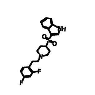 O=S(=O)(c1c[nH]c2ccccc12)C1CCN(CCc2ccc(F)cc2F)CC1